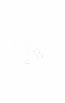 COC(=O)c1ccc(CN(C(=O)OC(C)(C)C)C(C)c2ncc[nH]2)c2ccccc12